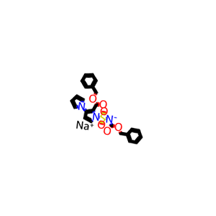 O=C([N-]S(=O)(=O)n1ccc(-n2cccc2)c1C(=O)OCc1ccccc1)OCc1ccccc1.[Na+]